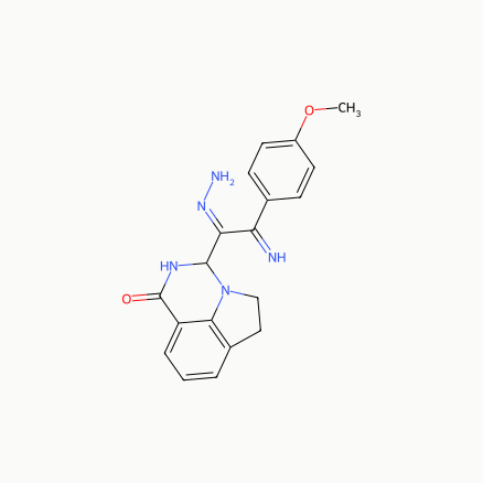 COc1ccc(C(=N)/C(=N\N)C2NC(=O)c3cccc4c3N2CC4)cc1